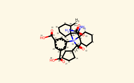 CC1CCCCC1(C(N)=O)[N+](C(=O)C1CCCC1)(c1cc(C(=O)O)cc(C(=O)O)c1)C1(C(N)=O)CCCCC1C